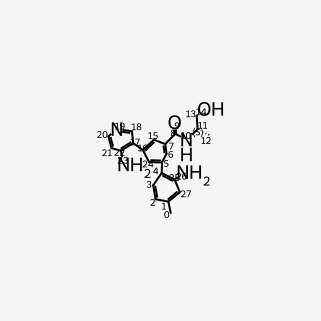 Cc1ccc(-c2cc(C(=O)N[C@@H](C)CO)cc(-c3cnccc3N)c2)c(N)c1